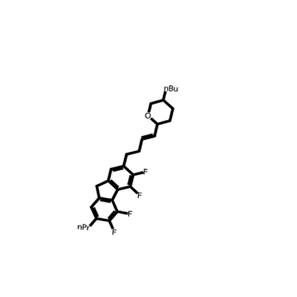 CCCCC1CCC(/C=C/CCc2cc3c(c(F)c2F)-c2c(cc(CCC)c(F)c2F)C3)OC1